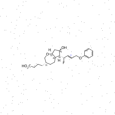 O=C(O)CCC[C@H]1CC[C@@H]2[C@@H](C(F)/C=C/COc3ccccc3)[C@H](O)C[C@@H]2OC1